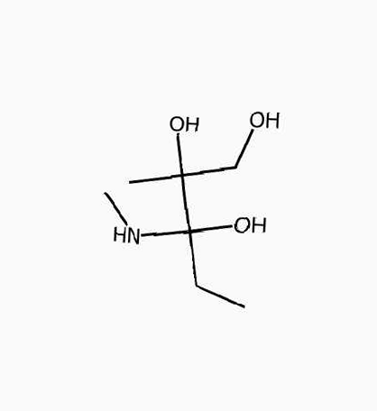 CCC(O)(NC)C(C)(O)CO